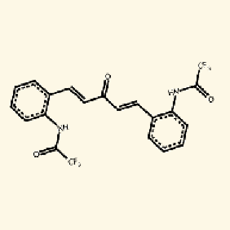 O=C(C=Cc1ccccc1NC(=O)C(F)(F)F)C=Cc1ccccc1NC(=O)C(F)(F)F